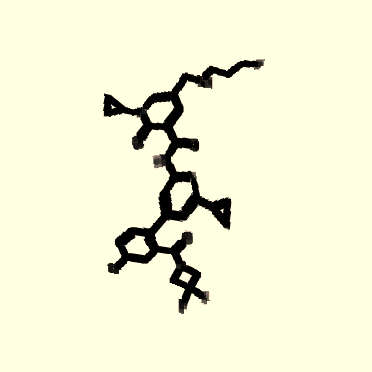 O=C(Nc1cc(-c2ccc(Cl)cc2C(=O)N2CC(F)(F)C2)cc(C2CC2)n1)c1cc(CNCCCF)cn(C2CC2)c1=O